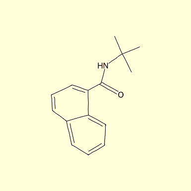 CC(C)(C)NC(=O)c1cccc2ccccc12